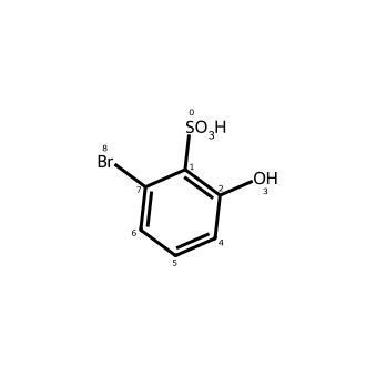 O=S(=O)(O)c1c(O)cccc1Br